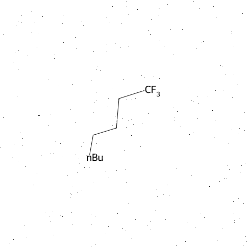 CCCCCCCC(F)(F)F